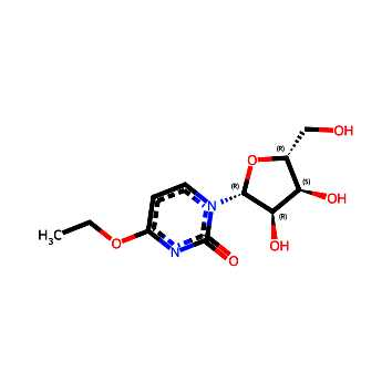 CCOc1ccn([C@@H]2O[C@H](CO)[C@@H](O)[C@H]2O)c(=O)n1